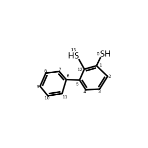 Sc1cccc(-c2ccccc2)c1S